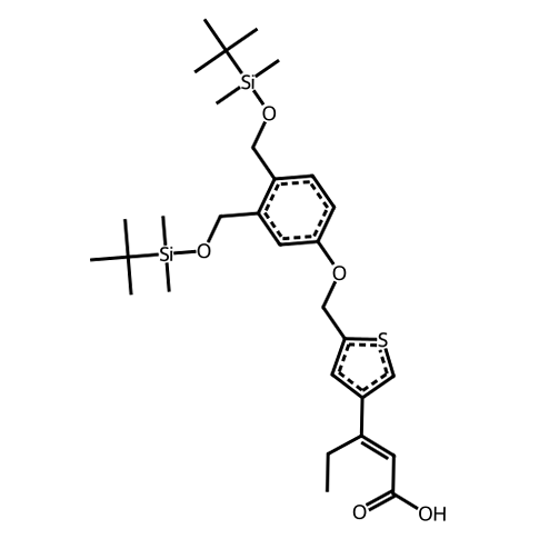 CCC(=CC(=O)O)c1csc(COc2ccc(CO[Si](C)(C)C(C)(C)C)c(CO[Si](C)(C)C(C)(C)C)c2)c1